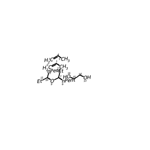 C=CC.C=CC.CCCCCC(CC)OC(CC)CCCCC.OCCO